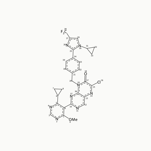 COc1ncnc(C2CC2)c1-c1ncc2nc(Cl)c(=O)n(Cc3ccc(-c4nc(C(F)(F)F)cn4C4CC4)cc3)c2n1